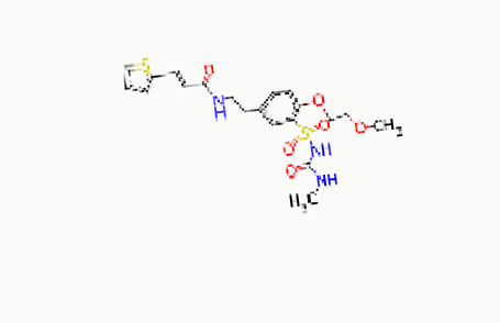 CNC(=O)NS(=O)(=O)c1cc(CCNC(=O)/C=C/c2cccs2)ccc1OCCOC